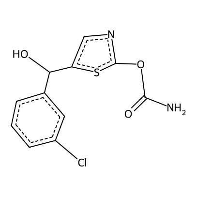 NC(=O)Oc1ncc(C(O)c2cccc(Cl)c2)s1